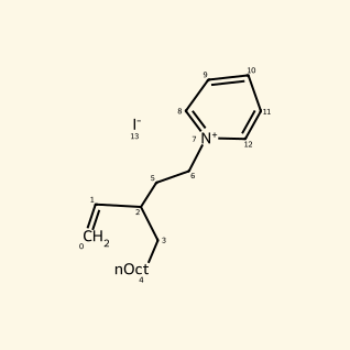 C=CC(CCCCCCCCC)CC[n+]1ccccc1.[I-]